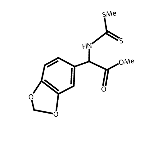 COC(=O)C(NC(=S)SC)c1ccc2c(c1)OCO2